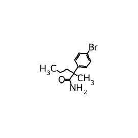 CCCC(C)(C(N)=O)c1ccc(Br)cc1